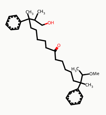 COC(C)C(C)(CCCCCC(=O)CCCCCC(C)(c1ccccc1)C(C)CO)c1ccccc1